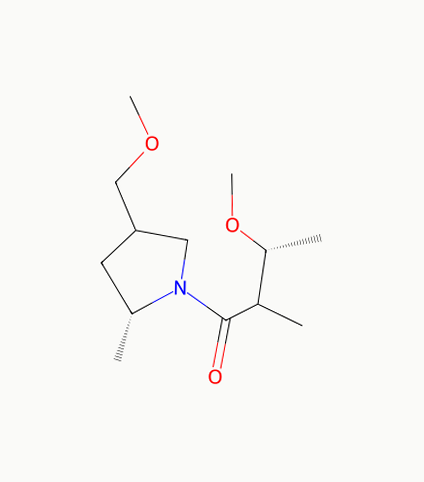 COCC1C[C@@H](C)N(C(=O)C(C)[C@@H](C)OC)C1